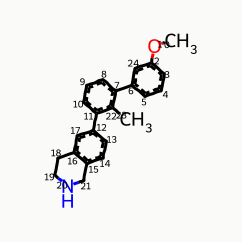 COc1cccc(-c2cccc(-c3ccc4c(c3)CCNC4)c2C)c1